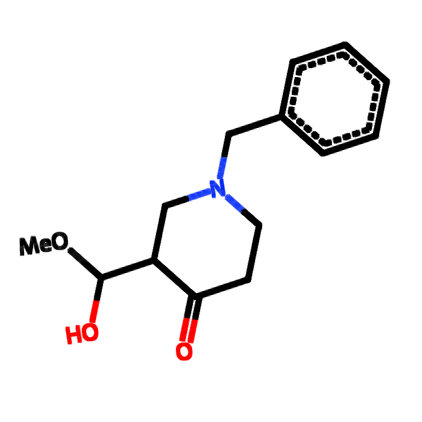 COC(O)C1CN(Cc2ccccc2)CCC1=O